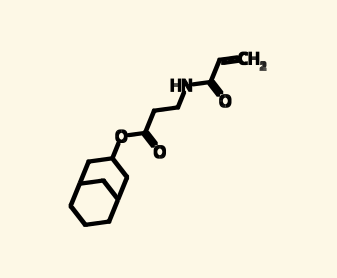 C=CC(=O)NCCC(=O)OC1CC2CCCC(C2)C1